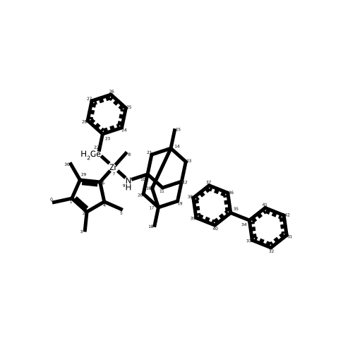 CC1=C(C)C(C)[C]([Zr]([CH3])([NH]C23CC4CC(C)(CC(C)(C4)C2)C3)[GeH2][c]2ccccc2)=C1C.c1ccc(-c2ccccc2)cc1